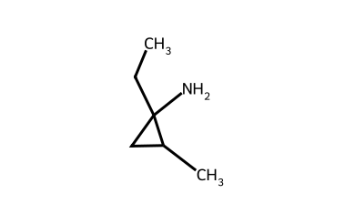 CCC1(N)CC1C